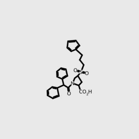 O=C(O)C1CC(S(=O)(=O)CCCc2ccccc2)CN1C(=O)C(c1ccccc1)c1ccccc1